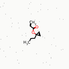 C=CC(=O)OC1(CCC)C=C1